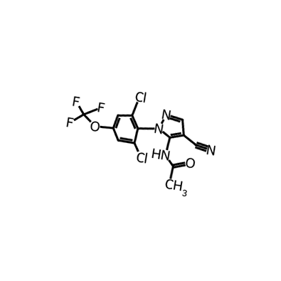 CC(=O)Nc1c(C#N)cnn1-c1c(Cl)cc(OC(F)(F)F)cc1Cl